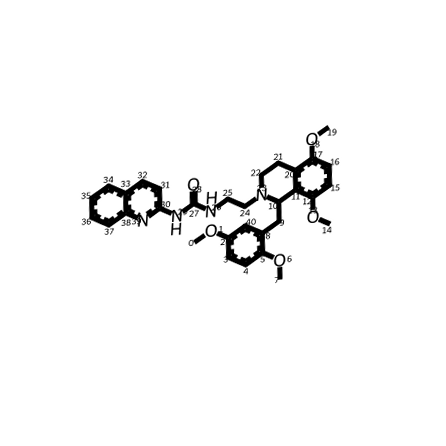 COc1ccc(OC)c(CC2c3c(OC)ccc(OC)c3CCN2CCNC(=O)Nc2ccc3ccccc3n2)c1